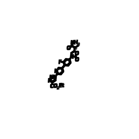 CCOC(=O)c1cn(-c2ccc(-c3ccc(N4CC([C@H](C)C(N)=O)OC4=O)cc3F)cn2)nn1